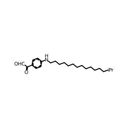 CC(C)CCCCCCCCCCCCCNc1ccc(C(=O)C=O)cc1